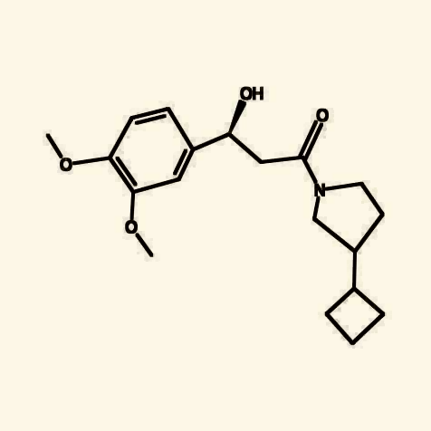 COc1ccc([C@@H](O)CC(=O)N2CCC(C3CCC3)C2)cc1OC